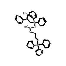 N#CC(C#N)=C(CS(OB(O)OCCCC(c1ccccc1)(c1ccccc1)c1ccccc1)(c1ccccc1)c1ccccc1)c1ccccc1